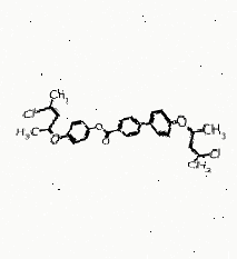 C[C@H](Cl)C[C@H](C)Oc1ccc(OC(=O)c2ccc(-c3ccc(O[C@@H](C)C[C@H](C)Cl)cc3)cc2)cc1